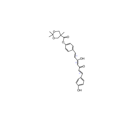 CC1(C)OCC(C)(C(=O)Oc2ccc(/C=C/C(O)=C/C(=O)/C=C/c3ccc(O)cc3)cc2)CO1